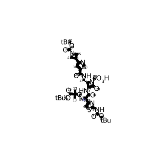 CC(C)(C)OC(=O)Nc1nc(/C(=N/OC(C)(C)C(=O)OC(C)(C)C)C(=O)N[C@@H]2C(=O)N(S(=O)(=O)O)[C@@H]2CNC(=O)c2cc(C3CN(C(=O)OC(C)(C)C)C3)no2)cs1